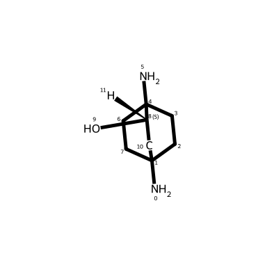 NC12CCC(N)(CC1)[C@@H](O)C2